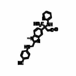 Cn1c(CNc2ccc(C#N)cc2)nc2cc(C(C=C=O)(Nc3ccccn3)C(=O)O)ccc21